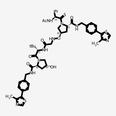 CC(=O)N[C@H](C(=S)N1C[C@H](ONCC(=O)N[C@H](C(=O)N2C[C@H](O)C[C@H]2C(=O)NCc2ccc(-c3scnc3C)cc2)C(C)(C)C)C[C@H]1C(=O)NCc1ccc(-c2scnc2C)cc1)C(C)C